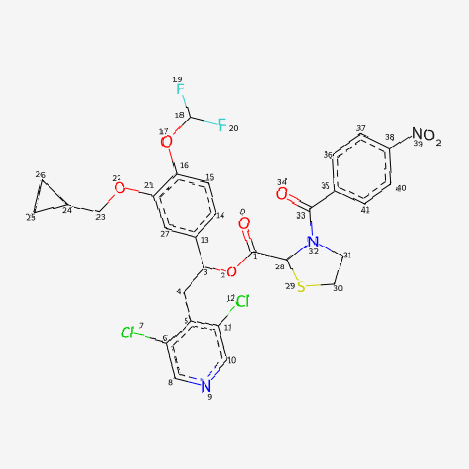 O=C(OC(Cc1c(Cl)cncc1Cl)c1ccc(OC(F)F)c(OCC2CC2)c1)C1SCCN1C(=O)c1ccc([N+](=O)[O-])cc1